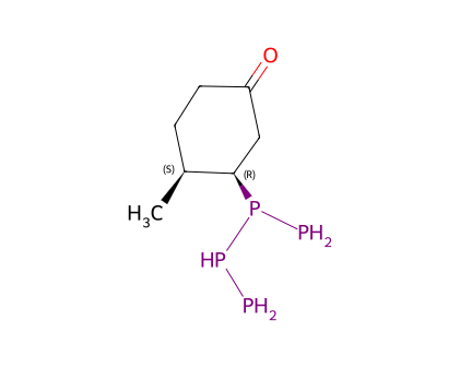 C[C@H]1CCC(=O)C[C@H]1P(P)PP